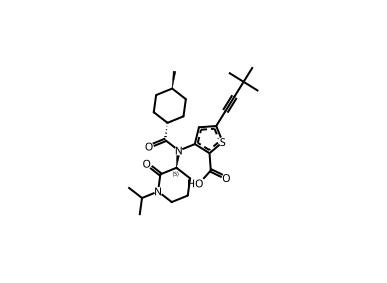 CC(C)N1CCC[C@H](N(c2cc(C#CC(C)(C)C)sc2C(=O)O)C(=O)[C@H]2CC[C@H](C)CC2)C1=O